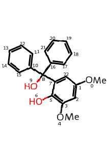 COc1cc(OC)c(O)c(C(O)(c2ccccc2)c2ccccc2)c1